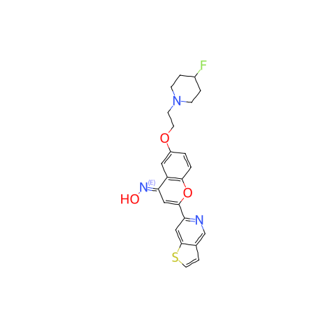 O/N=c1\cc(-c2cc3sccc3cn2)oc2ccc(OCCN3CCC(F)CC3)cc12